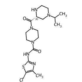 Cc1nc(NC(=O)N2CCN(C(=O)[C@H]3CN(C(C)C)CCN3)CC2)sc1Cl